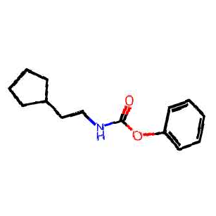 O=C(NCCC1CCCC1)Oc1ccccc1